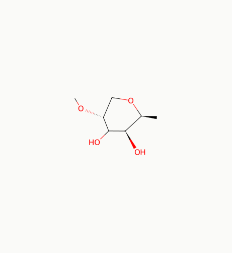 CO[C@@H]1CO[C@@H](C)[C@@H](O)C1O